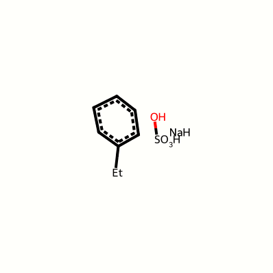 CCc1ccccc1.O=S(=O)(O)O.[NaH]